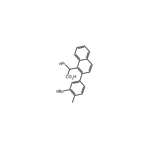 CCCCc1cc(-c2ccc3ccccc3c2C(CCC)C(=O)O)ccc1C